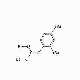 CCOP(OCC)Oc1ccc(C(C)(C)C)cc1C(C)(C)C